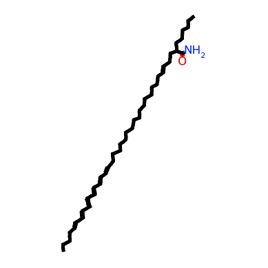 CCCCC=CC=CC=CC=CC=CC=CCCCCCCCCCCCCCCCCC=CCCC(CCCCCC)C(N)=O